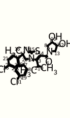 CC(C)C1=C(C(=O)N2C[C@@H](O)[C@@H](O)C2)SC2=N[C@@](C)(c3ccc(Cl)cc3)[C@@H](c3ccc(Cl)cc3)N21